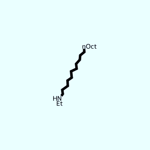 [CH2]CNCCCCCCCCCCCCCCCCCCC